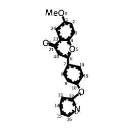 COc1ccc2oc(-c3ccc(Oc4ccccn4)cc3)cc(=O)c2c1